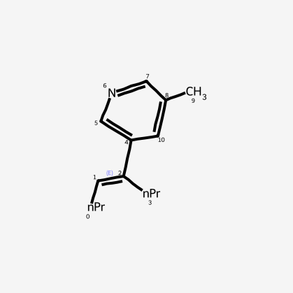 CCC/C=C(\CCC)c1cncc(C)c1